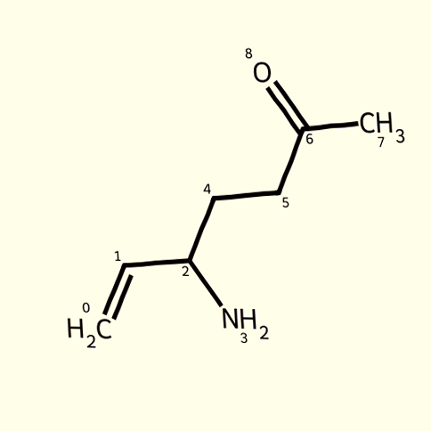 C=CC(N)CCC(C)=O